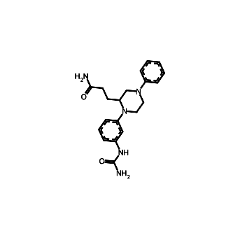 NC(=O)CCC1CN(c2ccccc2)CCN1c1cccc(NC(N)=O)c1